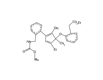 CCOC(=O)Cc1ccccc1OC1(C)C(CC)=CC(c2ccccc2CNC(=O)OC(C)(C)C)=C1O